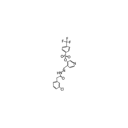 O=C(Cc1cccc(Cl)c1)NN=Cc1ccncc1OS(=O)(=O)c1ccc(C(F)(F)F)cc1